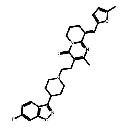 Cc1ccc(/C=C2\CCCn3c2nc(C)c(CCN2CCC(c4noc5cc(F)ccc45)CC2)c3=O)o1